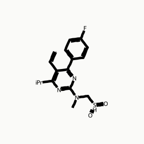 [CH]=Cc1c(-c2ccc(F)cc2)nc(N(C)C[SH](=O)=O)nc1C(C)C